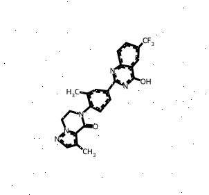 Cc1cc(-c2nc(O)c3cc(C(F)(F)F)ccc3n2)ccc1N1CCn2ncc(C)c2C1=O